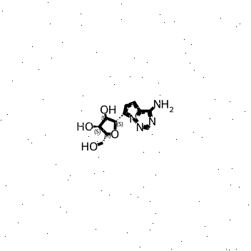 Nc1ncnn2c([C@@H]3O[C@H](CO)[C@@H](O)[C@H]3O)ccc12